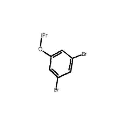 CC(C)Oc1cc(Br)cc(Br)c1